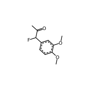 COc1ccc(C(F)C(C)=O)cc1OC